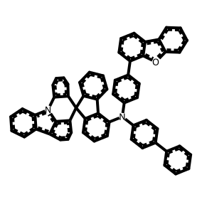 c1ccc(-c2ccc(N(c3ccc(-c4cccc5c4oc4ccccc45)cc3)c3cccc4c3-c3ccccc3C43c4ccccc4-n4c5ccccc5c5cccc3c54)cc2)cc1